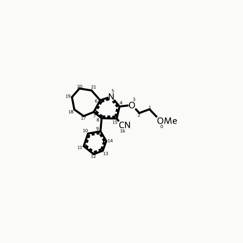 COCCOc1nc2c(c(-c3ccccc3)c1C#N)CCCCC2